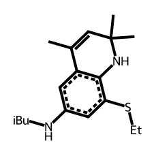 CCSc1cc(NC(C)CC)cc2c1NC(C)(C)C=C2C